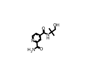 CC(C)(CO)NC(=O)c1[c]c(C(N)=O)ncc1